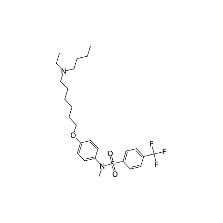 CCCCN(CC)CCCCCCOc1ccc(N(C)S(=O)(=O)c2ccc(C(F)(F)F)cc2)cc1